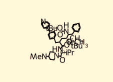 CNC1CCN(C(=O)[C@@H](NC(=O)C(Cc2ccc(-c3ccncc3)cc2)CC(O[Si](C)(C)C(C)(C)C)C(Cc2ccccc2)NC(=O)OC(C)(C)C)C(C)C)CC1